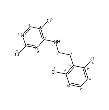 Clc1ncc(Cl)c(NCCc2c(Cl)cccc2Cl)n1